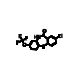 O=C1Nc2cc(OC(F)(F)F)ccc2Sc2ccc(Cl)cc21